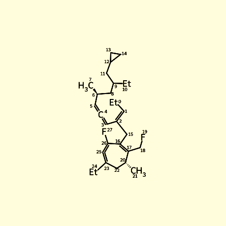 CCC=C(C=C=C[C@@H](C)CC(CC)CC1CC1)CC1=C(CF)[C@H](C)CC(CC)=C=C1F